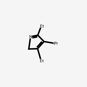 CCC1=NCC(CC)=C1C(C)C